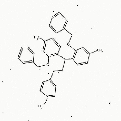 Cc1ccc(CCC(c2ccc(C)cc2OCc2ccccc2)c2ccc(C)cc2OCc2ccccc2)cc1